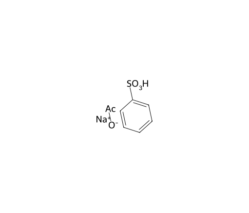 CC(=O)[O-].O=S(=O)(O)c1ccccc1.[Na+]